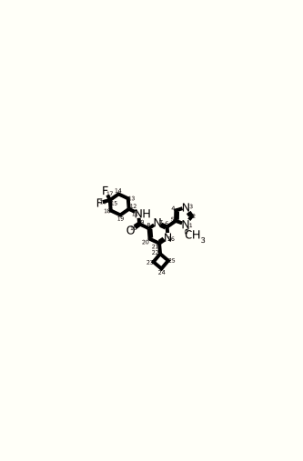 Cn1cncc1-c1nc(C(=O)NC2CCC(F)(F)CC2)cc(C2CCC2)n1